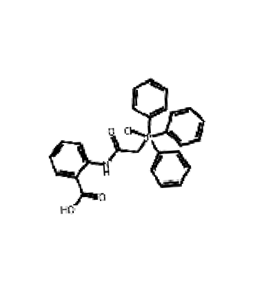 O=C(CP(Cl)(c1ccccc1)(c1ccccc1)c1ccccc1)Nc1ccccc1C(=O)O